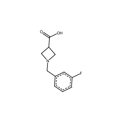 O=C(O)C1CN(Cc2cc[c]c(F)c2)C1